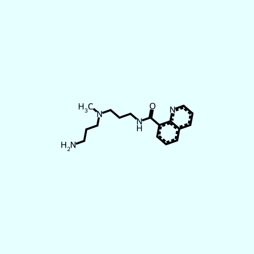 CN(CCCN)CCCNC(=O)c1cccc2cccnc12